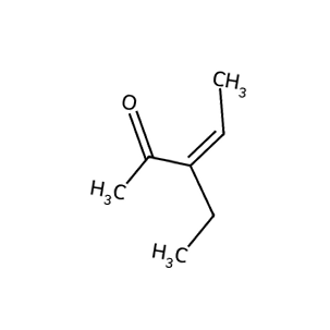 C/C=C(/CC)C(C)=O